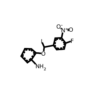 Nc1ccccc1OC(I)c1ccc(F)c([N+](=O)[O-])c1